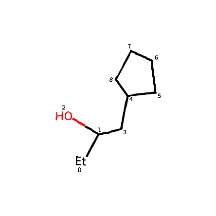 CCC(O)CC1CCCC1